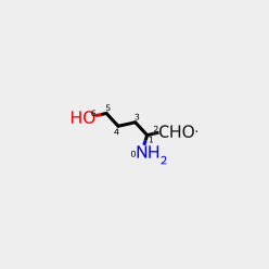 NC([C]=O)CCCO